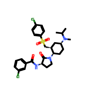 CC(C)N(C)[C@@H]1CC[C@H](N2CC[C@H](NC(=O)c3cccc(Cl)c3)C2=O)[C@H](CS(=O)(=O)c2ccc(Cl)cc2)C1